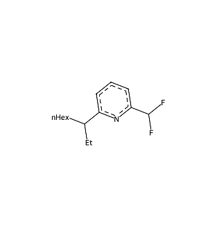 CCCCCCC(CC)c1cccc(C(F)F)n1